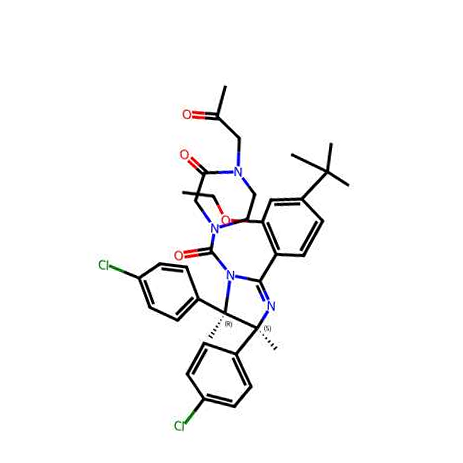 CCOc1cc(C(C)(C)C)ccc1C1=N[C@@](C)(c2ccc(Cl)cc2)[C@@](C)(c2ccc(Cl)cc2)N1C(=O)N1CCN(CC(C)=O)C(=O)C1